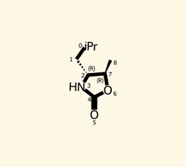 CC(C)C[C@H]1NC(=O)O[C@@H]1C